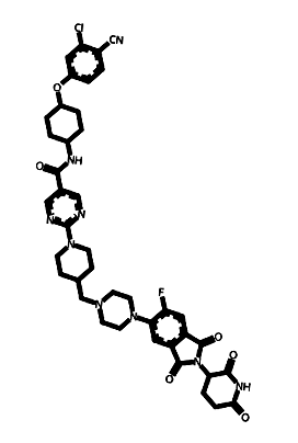 N#Cc1ccc(OC2CCC(NC(=O)c3cnc(N4CCC(CN5CCN(c6cc7c(cc6F)C(=O)N(C6CCC(=O)NC6=O)C7=O)CC5)CC4)nc3)CC2)cc1Cl